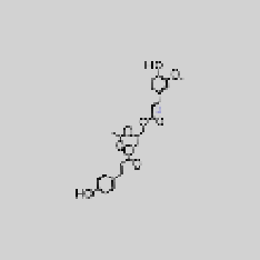 COc1cc(/C=C/C(=O)OCC(COC(=O)C=Cc2ccc(O)cc2)OC(C)=O)ccc1O